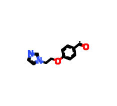 O=[C]c1ccc(OCCn2ccnc2)cc1